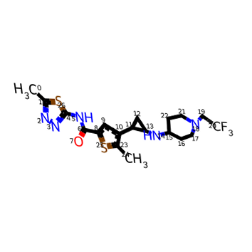 Cc1nnc(NC(=O)c2cc(C3CC3NC3CCN(CC(F)(F)F)CC3)c(C)s2)s1